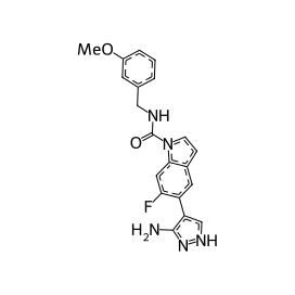 COc1cccc(CNC(=O)n2ccc3cc(-c4c[nH]nc4N)c(F)cc32)c1